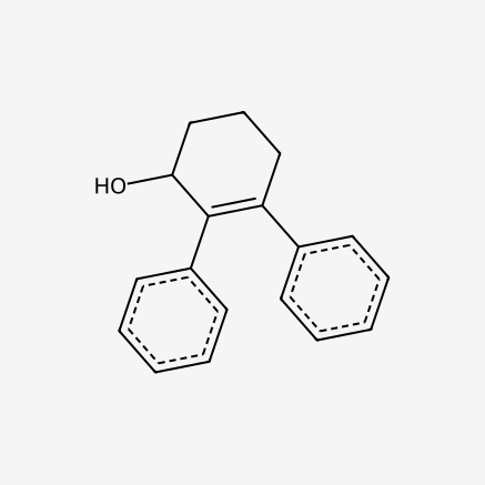 OC1CCCC(c2ccccc2)=C1c1ccccc1